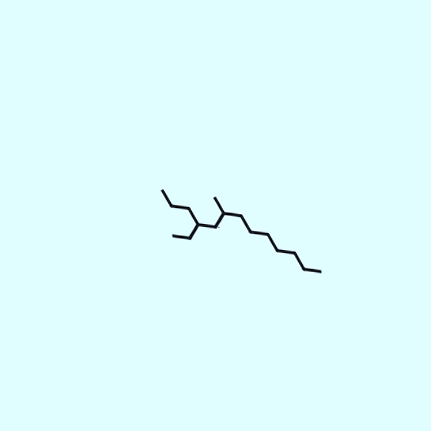 CCCCCCCC(C)[CH]C(CC)CCC